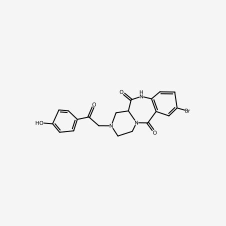 O=C(CN1CCN2C(=O)c3cc(Br)ccc3NC(=O)C2C1)c1ccc(O)cc1